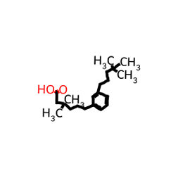 CC(C)(C)CCCc1cccc(CCCC(C)(C)CC(=O)O)c1